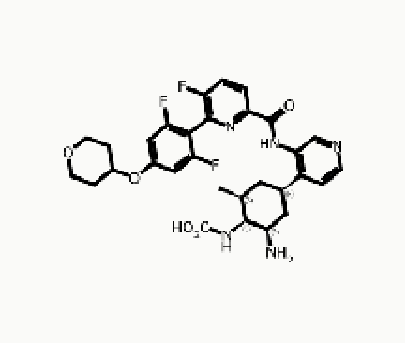 C[C@H]1C[C@@H](c2ccncc2NC(=O)c2ccc(F)c(-c3c(F)cc(OC4CCOCC4)cc3F)n2)C[C@@H](N)[C@H]1NC(=O)O